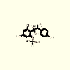 CC(c1ccc(O)cc1)C(O)(O)C1C(O)=CC(O)=C/C1=N\P(=O)(O)O